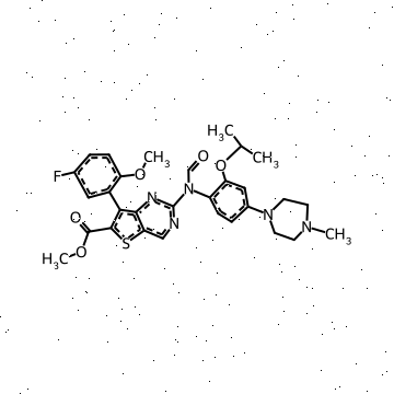 COC(=O)c1sc2cnc(N(C=O)c3ccc(N4CCN(C)CC4)cc3OC(C)C)nc2c1-c1cc(F)ccc1OC